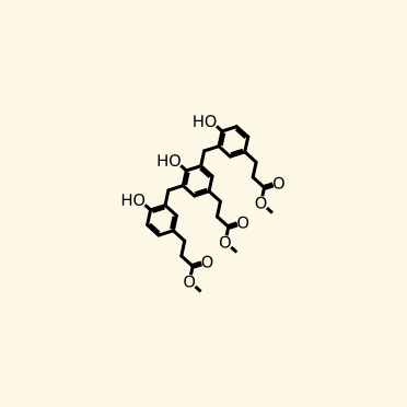 COC(=O)CCc1ccc(O)c(Cc2cc(CCC(=O)OC)cc(Cc3cc(CCC(=O)OC)ccc3O)c2O)c1